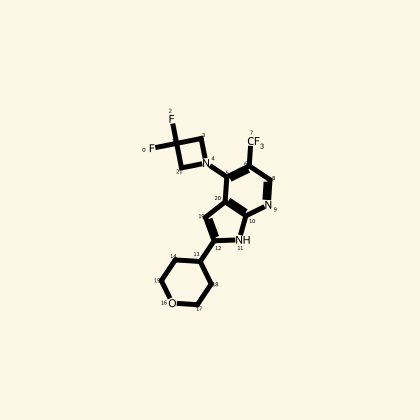 FC1(F)CN(c2c(C(F)(F)F)cnc3[nH]c(C4CCOCC4)cc23)C1